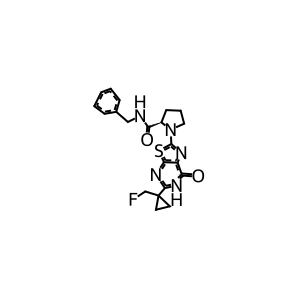 O=C(NCc1ccccc1)[C@H]1CCCN1c1nc2c(=O)[nH]c(C3(CF)CC3)nc2s1